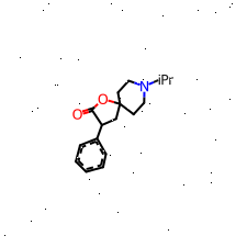 CC(C)N1CCC2(CC1)CC(c1ccccc1)C(=O)O2